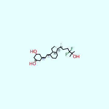 C[C@H](CCC(F)(F)C(C)(C)O)[C@H]1CCC2/C(=C/C=C3\CC(O)C[C@H](O)C3)CCC[C@@]21C